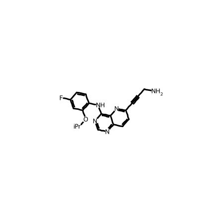 CC(C)Oc1cc(F)ccc1Nc1ncnc2ccc(C#CCN)nc12